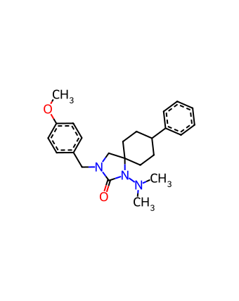 COc1ccc(CN2CC3(CCC(c4ccccc4)CC3)N(N(C)C)C2=O)cc1